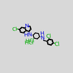 Cl.Cl.Clc1ccc(CN[C@H]2CC[C@@H](Nc3ccnc4cc(Cl)ccc34)CC2)c(Cl)c1